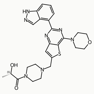 C[C@H](O)C(=O)N1CCN(Cc2cc3nc(-c4cccc5[nH]ncc45)nc(N4CCOCC4)c3s2)CC1